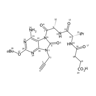 C#CCn1c(=O)n(C(=O)[C@H](C)NC(=O)[C@@H](NC(=O)CCC(=O)O)C(C)C)c2c(N)nc(OCCCC)nc21